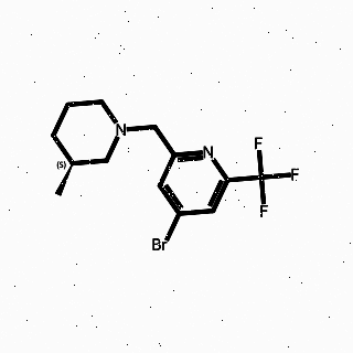 C[C@H]1CCCN(Cc2cc(Br)cc(C(F)(F)F)n2)C1